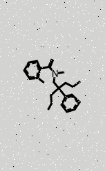 C=C(c1ccccc1C)N(C)CC(CCC)(CCC)c1ccccc1